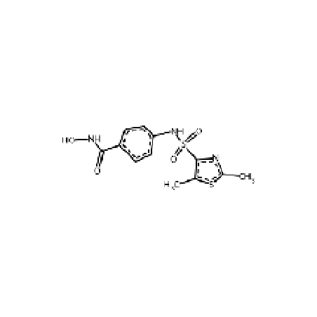 Cc1nc(S(=O)(=O)Nc2ccc(C(=O)NO)cc2)c(C)s1